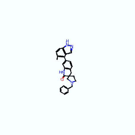 Cc1ccc2[nH]ncc2c1-c1ccc2c(c1)NC(=O)C1(CCN(Cc3ccccc3)C1)C2